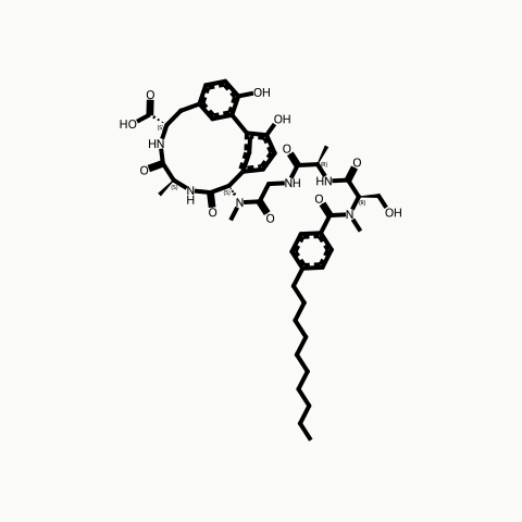 CCCCCCCCCCc1ccc(C(=O)N(C)[C@H](CO)C(=O)N[C@H](C)C(=O)NCC(=O)N(C)[C@@H]2C(=O)N[C@@H](C)C(=O)N[C@H](C(=O)O)Cc3ccc(O)c(c3)-c3cc2ccc3O)cc1